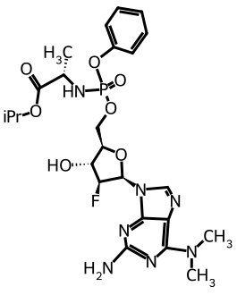 CC(C)OC(=O)[C@H](C)NP(=O)(OC[C@H]1O[C@@H](n2cnc3c(N(C)C)nc(N)nc32)[C@@H](F)[C@@H]1O)Oc1ccccc1